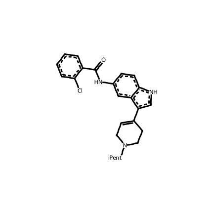 CCCC(C)N1CC=C(c2c[nH]c3ccc(NC(=O)c4ccccc4Cl)cc23)CC1